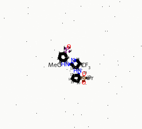 COc1ccc(P(C)(C)=O)cc1Nc1cc(Nc2ccccc2S(=O)(=O)C(C)C)c(C(F)(F)F)cn1